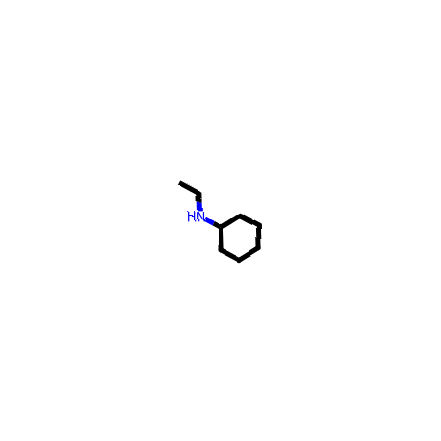 CCN[C]1CCCCC1